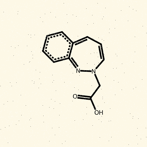 O=C(O)CN1C=CC=c2ccccc2=N1